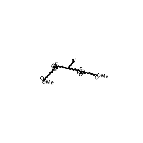 COC(=O)CCCCCCCCOC(=O)C(F)(F)CCCCCCC(CCCCCCC(F)(F)C(=O)OCCCCCCCCC(=O)OC)CCCCN(C)C